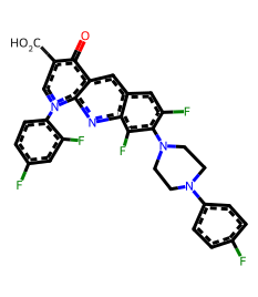 O=C(O)c1cn(-c2ccc(F)cc2F)c2nc3c(F)c(N4CCN(c5ccc(F)cc5)CC4)c(F)cc3cc2c1=O